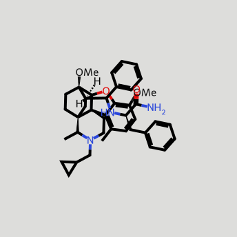 COc1ccc(C)c2c1O[C@H]1[C@@]3(OC)CC[C@@]4(C[C@@H]3C(N[C@H](Cc3ccccc3)C(N)=O)c3ccccc3)C(C)N(CC3CC3)CC[C@]214